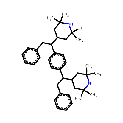 CC1(C)CC(C(Cc2ccccc2)c2ccc(C(Cc3ccccc3)C3CC(C)(C)NC(C)(C)C3)cc2)CC(C)(C)N1